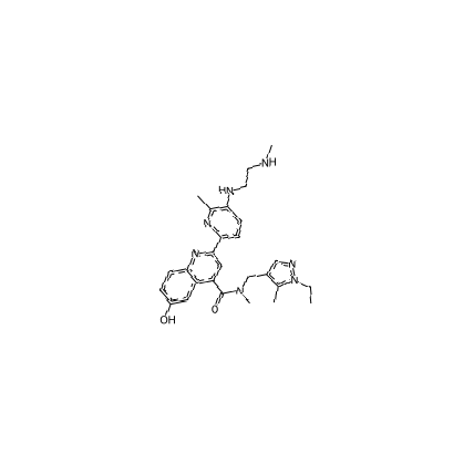 CCn1ncc(CN(C)C(=O)c2cc(-c3ccc(NCCNC)c(C)n3)nc3ccc(O)cc23)c1C